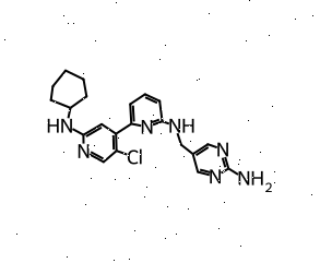 Nc1ncc(CNc2cccc(-c3cc(NC4CCCCC4)ncc3Cl)n2)cn1